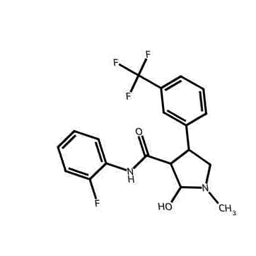 CN1CC(c2cccc(C(F)(F)F)c2)C(C(=O)Nc2ccccc2F)C1O